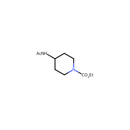 CCOC(=O)N1CCC(NC(C)=O)CC1